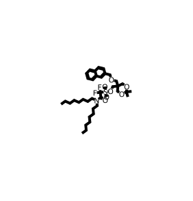 CCCCCCCCN(CCCCCCCC)C(=O)C(F)(F)S(=O)(=O)OCC1(COCc2ccc3ccccc3c2)COC(C)(C)OC1